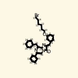 O=C1/C(=C/c2cccc(OCCCCCCBr)c2)N=C2C(Cc3ccccc3)=NC(c3ccccc3)=CN12